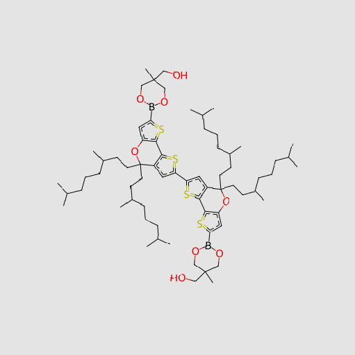 CC(C)CCCC(C)CCC1(CCC(C)CCCC(C)C)Oc2cc(B3OCC(C)(CO)CO3)sc2-c2sc(-c3cc4c(s3)-c3sc(B5OCC(C)(CO)CO5)cc3OC4(CCC(C)CCCC(C)C)CCC(C)CCCC(C)C)cc21